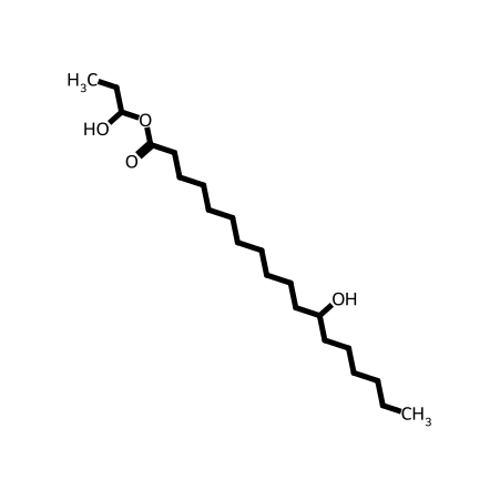 CCCCCCC(O)CCCCCCCCCCC(=O)OC(O)CC